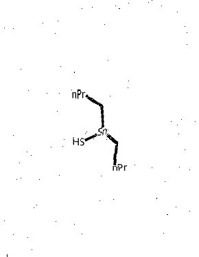 CCC[CH2][Sn]([SH])[CH2]CCC